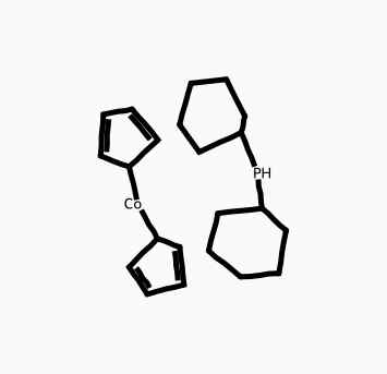 C1=C[CH]([Co][CH]2C=CC=C2)C=C1.C1CCC(PC2CCCCC2)CC1